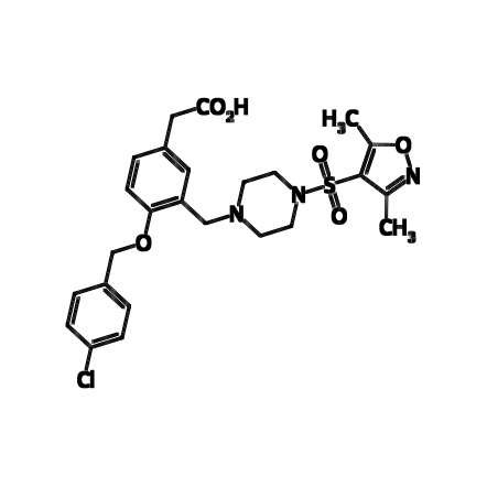 Cc1noc(C)c1S(=O)(=O)N1CCN(Cc2cc(CC(=O)O)ccc2OCc2ccc(Cl)cc2)CC1